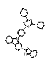 c1ccc(-c2nc(-c3ccccc3)nc(-c3ccc(-n4c5ccccc5c5ccc(-c6nc7ccccc7s6)cc54)cc3)n2)cc1